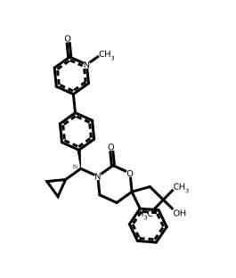 Cn1cc(-c2ccc([C@H](C3CC3)N3CCC(CC(C)(C)O)(c4ccccc4)OC3=O)cc2)ccc1=O